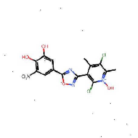 Cc1c(Cl)c(C)[n+](O)c(Cl)c1-c1noc(-c2cc(O)c(O)c([N+](=O)[O-])c2)n1